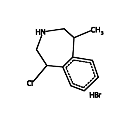 Br.CC1CNCC(Cl)c2ccccc21